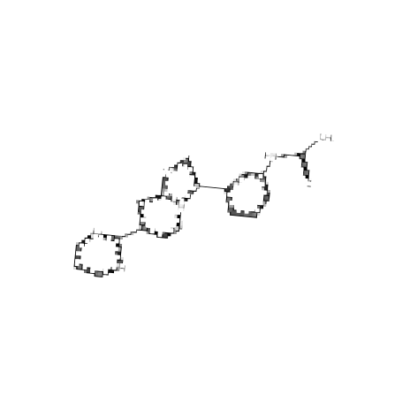 NC(=O)Nc1cccc(-c2cnc3cc(-c4ncccn4)ccn23)c1